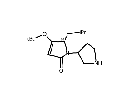 CC(C)C[C@H]1C(OC(C)(C)C)=CC(=O)N1C1CCNC1